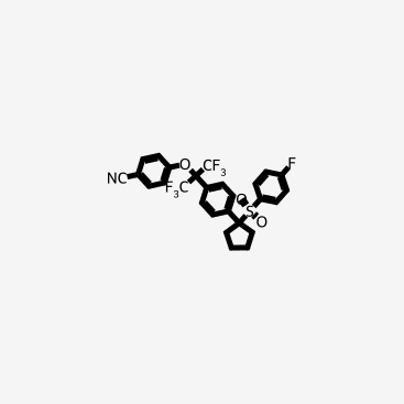 N#Cc1ccc(OC(c2ccc(C3(S(=O)(=O)c4ccc(F)cc4)CCCC3)cc2)(C(F)(F)F)C(F)(F)F)cc1